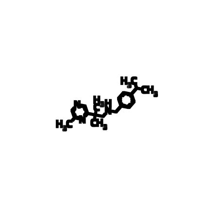 Cc1cncc(C(C)(C)CNCc2ccc(C(C)C)cc2)n1